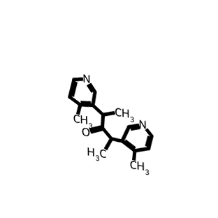 Cc1ccncc1C(C)C(=O)C(C)c1cnccc1C